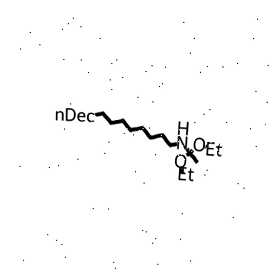 CCCCCCCCCCCCCCCCCCNC(C)(OCC)OCC